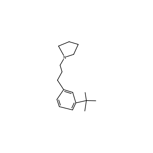 CC(C)(C)c1cccc(CCCN2CCCC2)c1